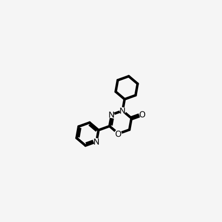 O=C1COC(c2ccccn2)=NN1C1CCCCC1